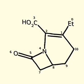 CCC1=C(C(=O)O)N2C(=O)CC2CC1